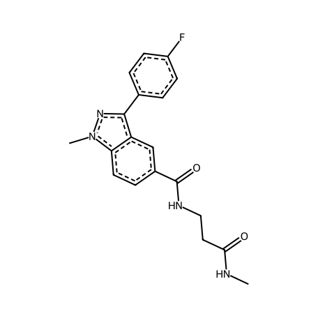 CNC(=O)CCNC(=O)c1ccc2c(c1)c(-c1ccc(F)cc1)nn2C